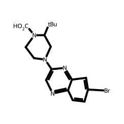 CC(C)(C)C1CN(c2cnc3ccc(Br)cc3n2)CCN1C(=O)O